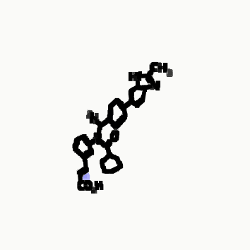 [2H]C(c1ccc(-c2ccc3nc(C)[nH]c3c2)cc1)N(C(=O)C1CCCCC1)c1cccc(/C=C/C(=O)O)c1